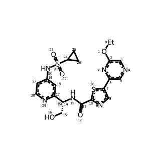 CCOc1cncc(-c2cnc(C(=O)N[C@H](CO)c3cc(NS(=O)(=O)C4CC4)ccn3)s2)n1